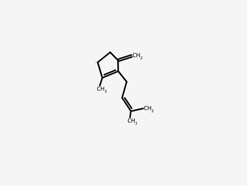 C=C1C[CH]C(C)=C1CC=C(C)C